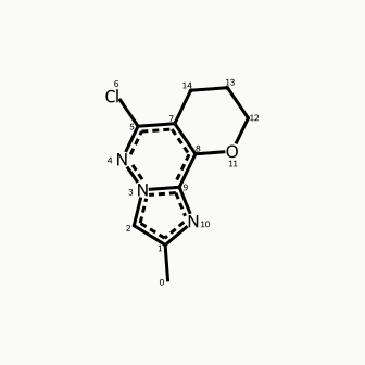 Cc1cn2nc(Cl)c3c(c2n1)OCCC3